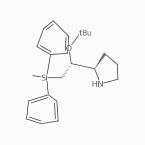 CC(C)(C)O[C@@H](C[Si](C)(c1ccccc1)c1ccccc1)[C@H]1CCCN1